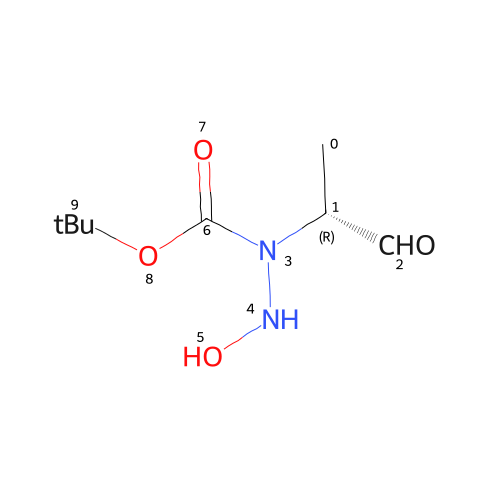 C[C@H](C=O)N(NO)C(=O)OC(C)(C)C